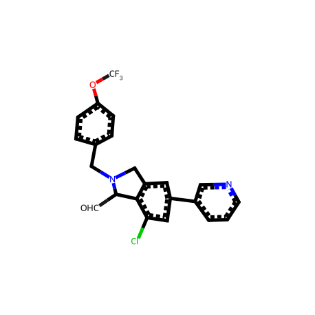 O=CC1c2c(Cl)cc(-c3cccnc3)cc2CN1Cc1ccc(OC(F)(F)F)cc1